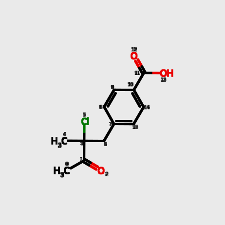 CC(=O)C(C)(Cl)Cc1ccc(C(=O)O)cc1